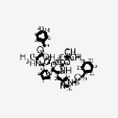 C[C@@H](NC(=O)[C@@H]1CCCN1C(=O)[C@H](Cc1cn(COCc2ccccc2)cn1)NC(=O)OC(C)(C)C)C(=O)OCc1ccccc1